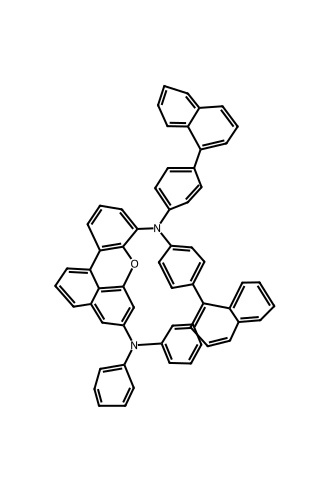 c1ccc(N(c2ccccc2)c2cc3c4c(cccc4c2)-c2cccc(N(c4ccc(-c5cccc6ccccc56)cc4)c4ccc(-c5cccc6ccccc56)cc4)c2O3)cc1